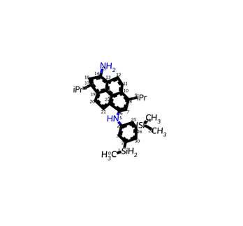 C[SiH2]c1cc(Nc2cc(C(C)C)c3ccc4c(N)cc(C(C)C)c5ccc2c3c45)cc([SiH](C)C)c1